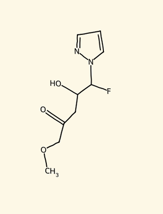 COCC(=O)CC(O)C(F)n1cccn1